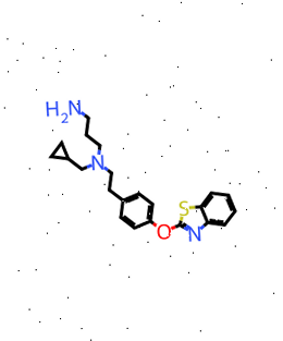 NCCCN(CCc1ccc(Oc2nc3ccccc3s2)cc1)CC1CC1